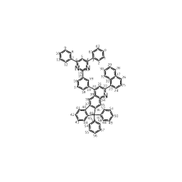 c1ccc(-c2cc(-c3ccccc3)nc(-c3cccc(-c4cc(-c5cccc6ccccc56)nc5cc6c(cc45)-c4ccccc4C6(c4ccccc4)c4ccccc4)c3)n2)cc1